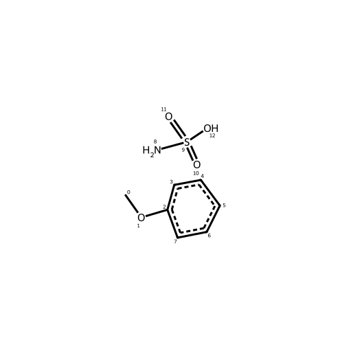 COc1ccccc1.NS(=O)(=O)O